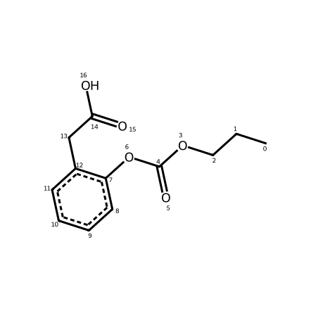 CCCOC(=O)Oc1ccccc1CC(=O)O